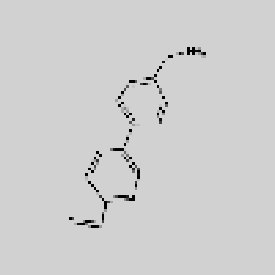 C=Cc1ccc(-c2ccc(CN)cc2)cc1